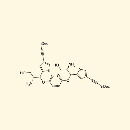 CCCCCCCCCCC#Cc1csc(C(OC(=O)/C=C\C(=O)OC(c2cc(C#CCCCCCCCCCC)cs2)[C@H](N)CO)[C@H](N)CO)c1